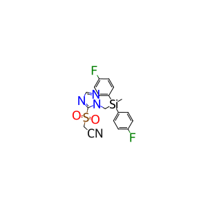 C[Si](Cn1ncnc1S(=O)(=O)CC#N)(c1ccc(F)cc1)c1ccc(F)cc1